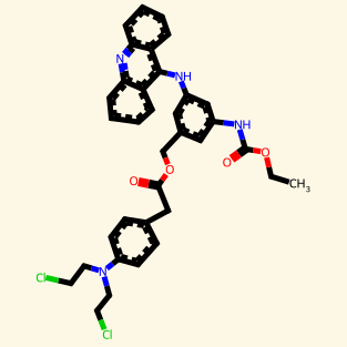 CCOC(=O)Nc1cc(COC(=O)Cc2ccc(N(CCCl)CCCl)cc2)cc(Nc2c3ccccc3nc3ccccc23)c1